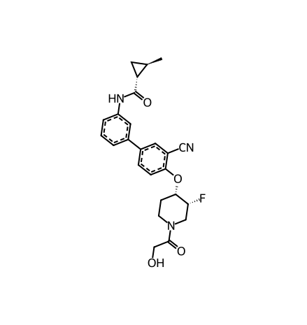 C[C@@H]1C[C@H]1C(=O)Nc1cccc(-c2ccc(O[C@H]3CCN(C(=O)CO)C[C@H]3F)c(C#N)c2)c1